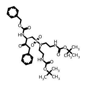 CC(C)(C)OC(=O)NCCN(CCNC(=O)OC(C)(C)C)S(=O)(=O)C[C@H](NC(=O)OCc1ccccc1)C(=O)Cc1ccccc1